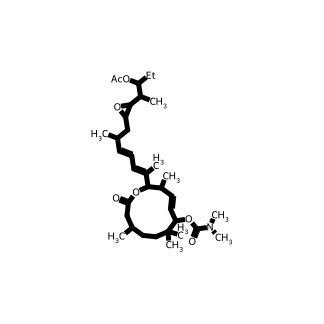 CCC(OC(C)=O)C(C)C1OC1CC(C)/C=C/C=C(\C)C1OC(=O)CC(C)CCC(C)(C)C(OC(=O)N(C)C)/C=C/C1C